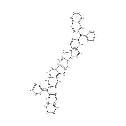 c1ccc(N(c2ccc3ccccc3c2)c2ccc3c(ccc4c5cc6oc7c8ccc(N(c9ccccc9)c9ccc%10ccccc%10c9)cc8ccc7c6cc5oc34)c2)cc1